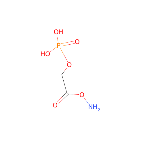 NOC(=O)COP(=O)(O)O